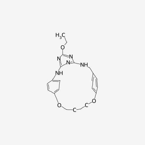 CCOc1nc2nc(n1)Nc1ccc(cc1)OCCCCOc1ccc(cc1)CN2